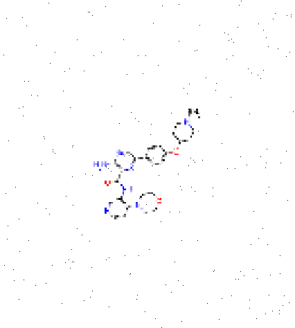 BN1CCC(Oc2ccc(-c3cnc(N)c(C(=O)Nc4cnccc4N4CCOCC4)n3)cc2)CC1